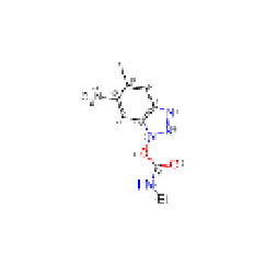 CCNC(=O)On1nnc2cc(C)c([N+](=O)[O-])cc21